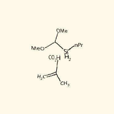 C=C(C)C(=O)O.CCC[SiH2]C(OC)OC